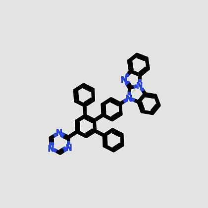 c1ccc(-c2cc(-c3ncncn3)cc(-c3ccccc3)c2-c2ccc(-n3c4ccccc4n4c5ccccc5nc34)cc2)cc1